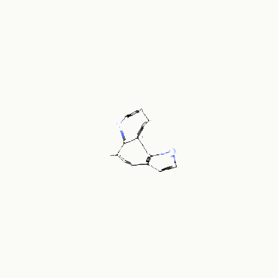 Clc1cc2cc[nH]c2c2cccnc12